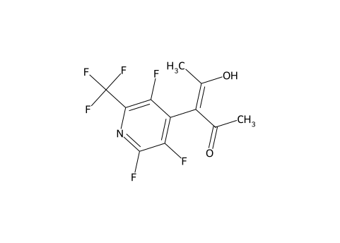 CC(=O)/C(=C(/C)O)c1c(F)c(F)nc(C(F)(F)F)c1F